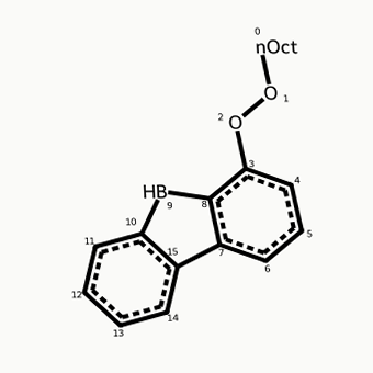 CCCCCCCCOOc1cccc2c1Bc1ccccc1-2